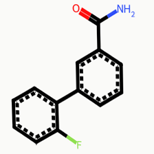 NC(=O)c1cccc(-c2ccc[c]c2F)c1